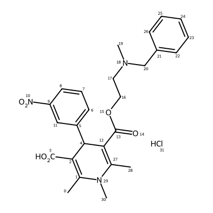 CC1=C(C(=O)O)C(c2cccc([N+](=O)[O-])c2)C(C(=O)OCCN(C)Cc2ccccc2)=C(C)N1C.Cl